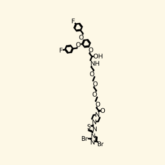 O=C(COCCOCCOCCOCCNCC(O)COc1ccc(OCc2ccc(F)cc2)c(OCc2ccc(F)cc2)c1)N1CCN(c2nc(-n3cc(Br)nc3Br)cs2)CC1